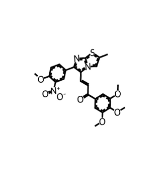 COc1ccc(-c2nc3sc(C)cn3c2C=CC(=O)c2cc(OC)c(OC)c(OC)c2)cc1[N+](=O)[O-]